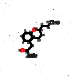 COC(=O)Cc1cccc2c1CCC(CCC=O)O2